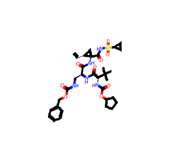 C=C[C@@H]1C[C@]1(NC(=O)[C@H](CNC(=O)OCc1ccccc1)NC(=O)[C@@H](NC(=O)OC1CCCC1)C(C)(C)C)C(=O)NS(=O)(=O)C1CC1